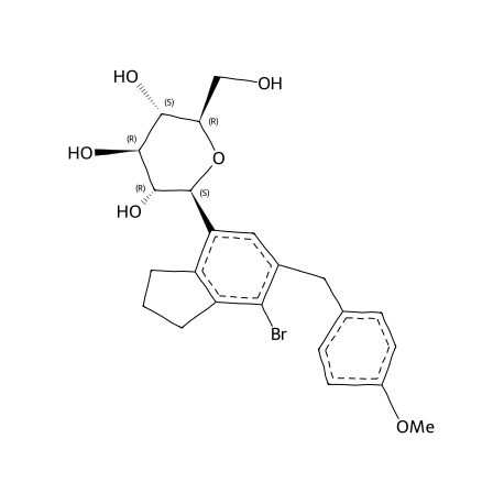 COc1ccc(Cc2cc([C@@H]3O[C@H](CO)[C@@H](O)[C@H](O)[C@H]3O)c3c(c2Br)CCC3)cc1